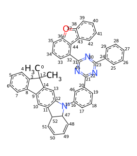 CC1(C)c2ccccc2-c2cc3c(cc21)N(c1cccc(-c2nc(-c4ccccc4)nc(-c4cccc5oc6ccccc6c45)n2)c1)C1C=CC=CC31